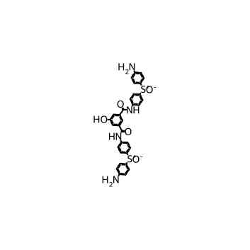 Nc1ccc([S+]([O-])c2ccc(NC(=O)c3cc(O)cc(C(=O)Nc4ccc([S+]([O-])c5ccc(N)cc5)cc4)c3)cc2)cc1